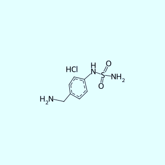 Cl.NCc1ccc(NS(N)(=O)=O)cc1